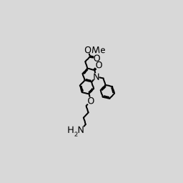 COC(=O)Cc1cc2ccc(OCCCCN)cc2n(Cc2ccccc2)c1=O